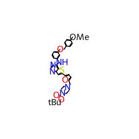 COc1ccc(COc2cccc(Nc3ncnc4cc(-c5ccc(CN6CCN(C(=O)OC(C)(C)C)CC6)o5)sc34)c2)cc1